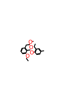 CCOc1cccc(CC(=O)OC)c1COc1ccc(C)cc1CC